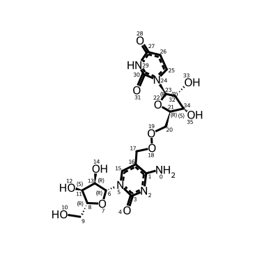 Nc1nc(=O)n([C@@H]2O[C@H](CO)[C@@H](O)[C@H]2O)cc1COOC[C@H]1O[C@@H](n2ccc(=O)[nH]c2=O)[C@H](O)[C@@H]1O